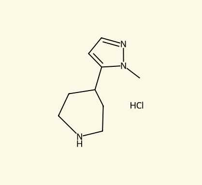 Cl.Cn1nccc1C1CCNCC1